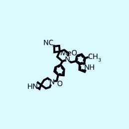 COc1cc(C)c2[nH]ccc2c1CN1CCC2(CC(C#N)C2)CC1c1ccc(C(=O)N2CCC3(CC2)CNC3)cc1